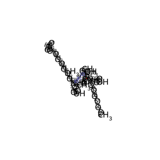 COCCOCCOCCOCCOCCOCCN(CCCS(=O)(=O)O)c1ccc(/C(=C\C/C=C/C=C2/N(CCOCCOCCOCCOCCOCCOCCC(=O)CN3C(=O)CCC3=O)c3ccc(S(=O)(=O)O)cc3C2(C)CCCS(=O)(=O)O)C(C)(C)C)c(O)c1